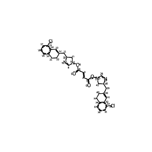 O=C(/C=C/C(=O)ON1C=NC(CC2=Cc3c(Cl)cccc3CC2)C1)ON1C=NC(CC2=Cc3c(Cl)cccc3CC2)C1